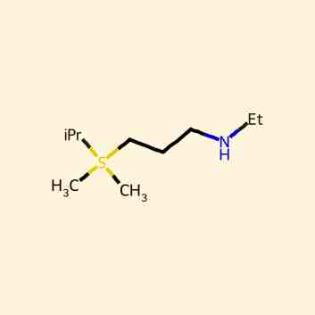 CCNCCCS(C)(C)C(C)C